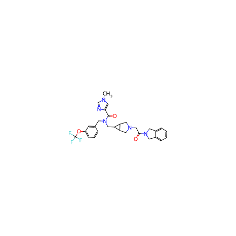 Cn1cnc(C(=O)N(Cc2cccc(OC(F)(F)F)c2)CC2C3CN(CC(=O)N4Cc5ccccc5C4)CC32)c1